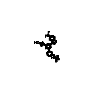 CS(=O)(=O)NCC1CCCN(c2cc(-c3cnc4ccc(C(F)F)nn34)cc(N3CC(O)C3)n2)C1